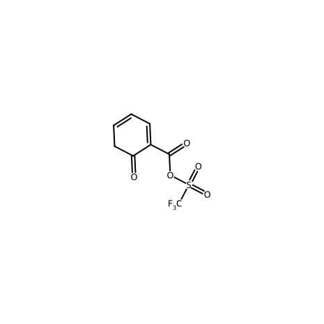 O=C1CC=CC=C1C(=O)OS(=O)(=O)C(F)(F)F